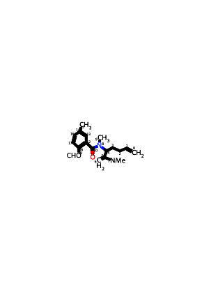 C=CCCC(C(=C)NC)N(C)C(=O)c1cc(C)ccc1C=O